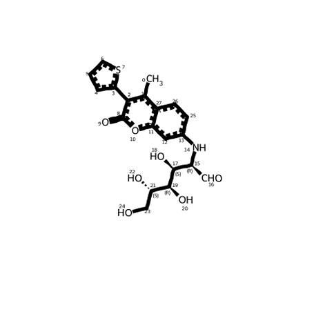 Cc1c(-c2cccs2)c(=O)oc2cc(N[C@@H](C=O)[C@H](O)[C@@H](O)[C@@H](O)CO)ccc12